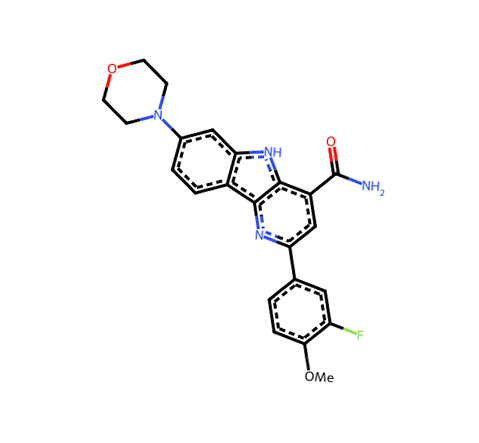 COc1ccc(-c2cc(C(N)=O)c3[nH]c4cc(N5CCOCC5)ccc4c3n2)cc1F